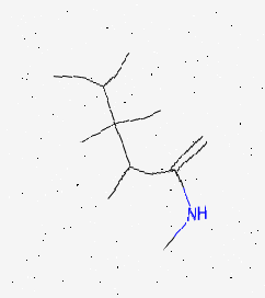 C=C(NC)C(C)C(C)(C)C(C)C